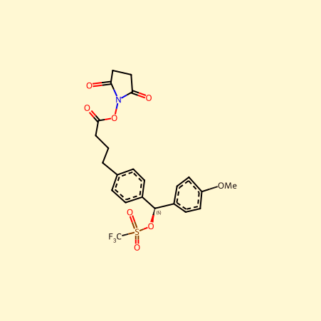 COc1ccc([C@@H](OS(=O)(=O)C(F)(F)F)c2ccc(CCCC(=O)ON3C(=O)CCC3=O)cc2)cc1